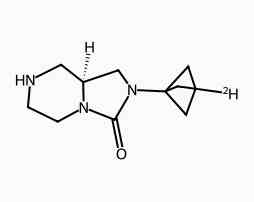 [2H]C12CC(N3C[C@@H]4CNCCN4C3=O)(C1)C2